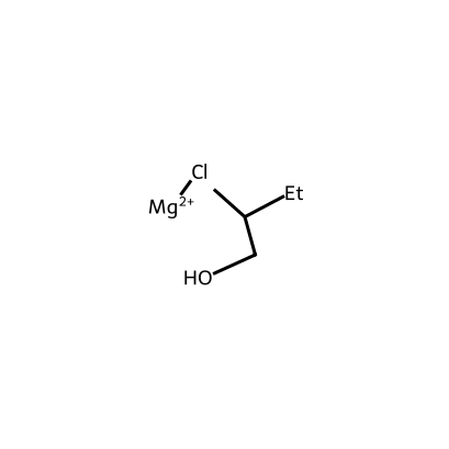 CCC(C)CO.[Mg+2][Cl]